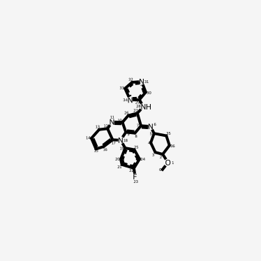 COC1CCC(/N=C2\C=C3C(=NC4CC=CC=C4N3c3ccc(F)cc3)C=C2Nc2cnccn2)CC1